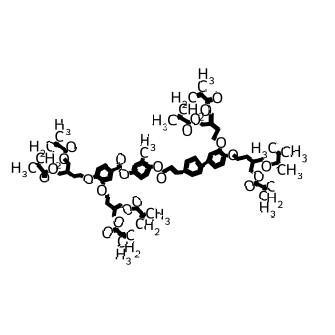 C=C(C)C(=O)OCC(CCOc1ccc(C(=O)Oc2ccc(OC(=O)/C=C/c3ccc(-c4ccc(OCCC(COC(=O)C(=C)C)COC(C)C(C)C)c(OCCC(COC(=O)C(=C)C)COC(=O)C(=C)C)c4)cc3)c(C)c2)cc1OCCC(COC(=O)C(=C)C)COC(=O)C(=C)C)COC(=O)C(=C)C